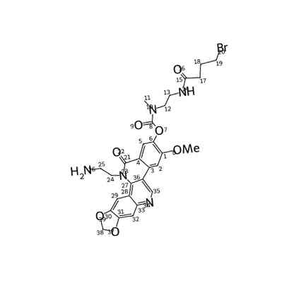 COc1cc2c(cc1OC(=O)N(C)CCNC(=O)CCCBr)c(=O)n(CCN)c1c3cc4c(cc3ncc21)OCO4